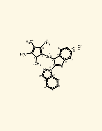 CC1=C(C)C(C)[C]([Zr+2][CH]2C(n3ncc4ccccc43)=Cc3ccccc32)=C1C.[Cl-].[Cl-]